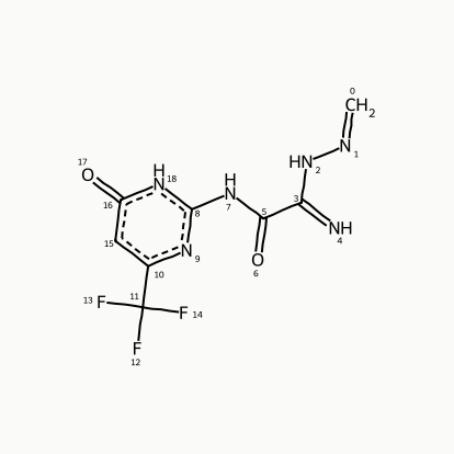 C=NNC(=N)C(=O)Nc1nc(C(F)(F)F)cc(=O)[nH]1